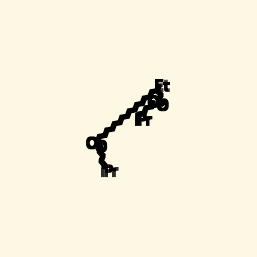 CCC(CCCCCCCCCCCCCCCC(=O)OCCCCC(C)C)CC(=O)OCCCCC(C)C